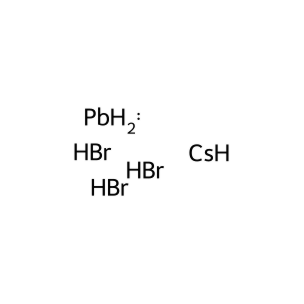 Br.Br.Br.[CsH].[PbH2]